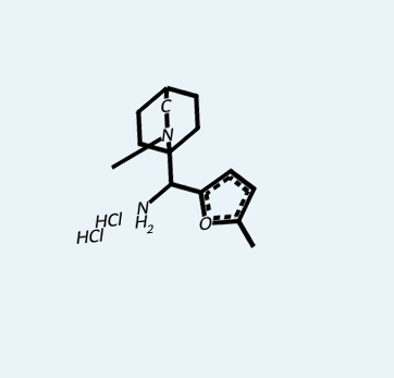 Cc1ccc(C(N)C23CCC(CC2)CN3C)o1.Cl.Cl